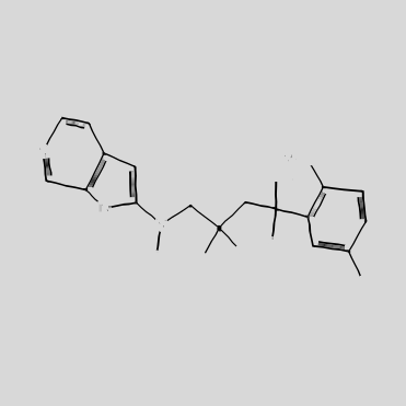 COc1ccc(F)cc1C(C)(C)CC(O)(CN(C)c1cc2ccncc2[nH]1)C(F)(F)F